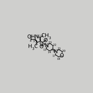 Cc1[nH]c(C=O)c(C)c1S(=O)(=O)N1CCC(N2CCOCC2)CC1